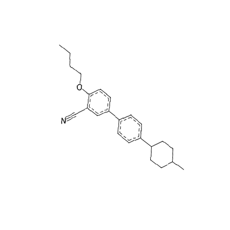 CCCCOc1ccc(-c2ccc(C3CCC(C)CC3)cc2)cc1C#N